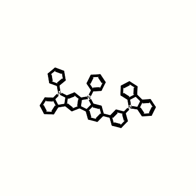 c1ccc(-n2c3ccccc3c3cc4c5ccc(-c6cccc(-n7c8ccccc8c8ccccc87)c6)cc5n(-c5ccccc5)c4cc32)cc1